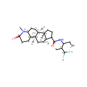 CC(C)CC(NC(=O)C1CC[C@H]2[C@@H]3CCC4N(C)C(=O)CC[C@]4(C)[C@@H]3CC[C@]12C)C(C)C(F)F